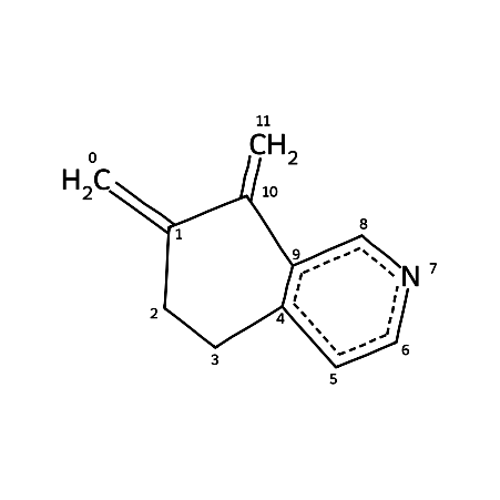 C=C1CCc2ccncc2C1=C